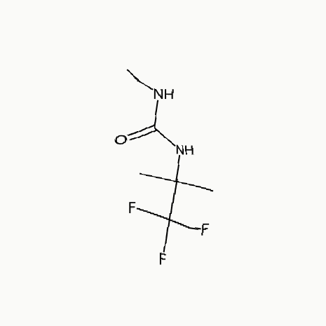 CNC(=O)NC(C)(C)C(F)(F)F